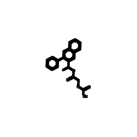 CCC(C)C(=O)OCC(=O)OC(C)c1cc2ccccc2cc1-c1ccccc1